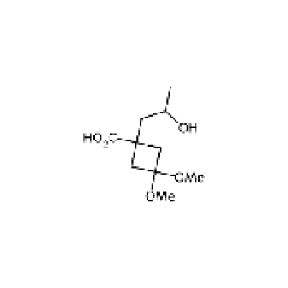 COC1(OC)CC(CC(C)O)(C(=O)O)C1